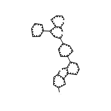 Brc1ccc2oc3c(-c4ccc(-c5cc(-c6ccccc6)c6cccnc6n5)cc4)cccc3c2c1